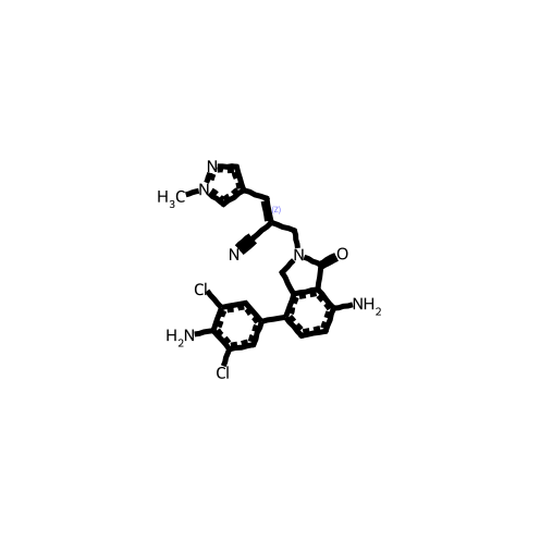 Cn1cc(/C=C(\C#N)CN2Cc3c(-c4cc(Cl)c(N)c(Cl)c4)ccc(N)c3C2=O)cn1